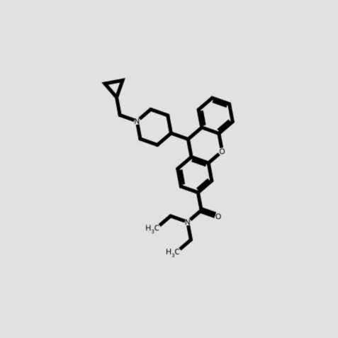 CCN(CC)C(=O)c1ccc2c(c1)Oc1ccccc1C2C1CCN(CC2CC2)CC1